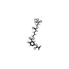 C=C(C)C(=O)Oc1ccc(I)c(C(=O)OCCCCC(=O)OCCS(=O)(=O)O)c1